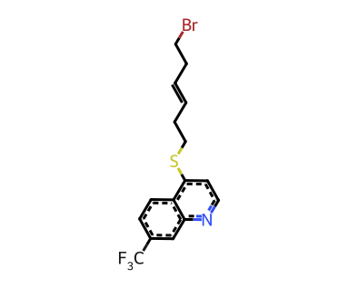 FC(F)(F)c1ccc2c(SCC/C=C/CCBr)ccnc2c1